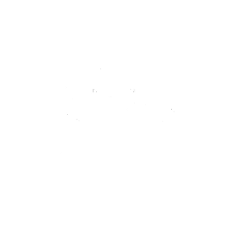 CC(C)C[C@H](NC(=O)OCc1ccccn1)C(=O)NC1CN(Cc2ccccc2Br)C(=O)C1=O